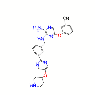 N#Cc1cccc(Oc2cnc(N)c(NCc3cccc(-c4ncc(OC5CCNCC5)cn4)c3)n2)c1